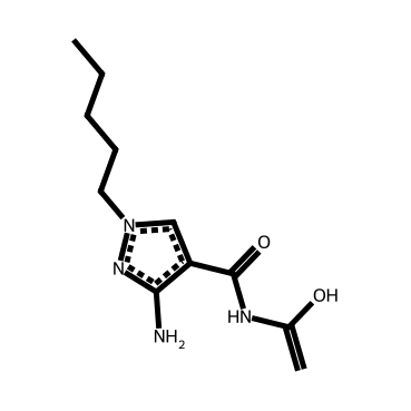 C=C(O)NC(=O)c1cn(CCCCC)nc1N